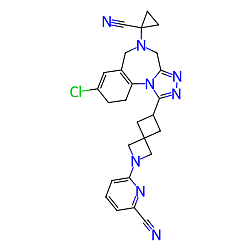 N#Cc1cccc(N2CC3(CC(c4nnc5n4C4=C(C=C(Cl)CC4)CN(C4(C#N)CC4)C5)C3)C2)n1